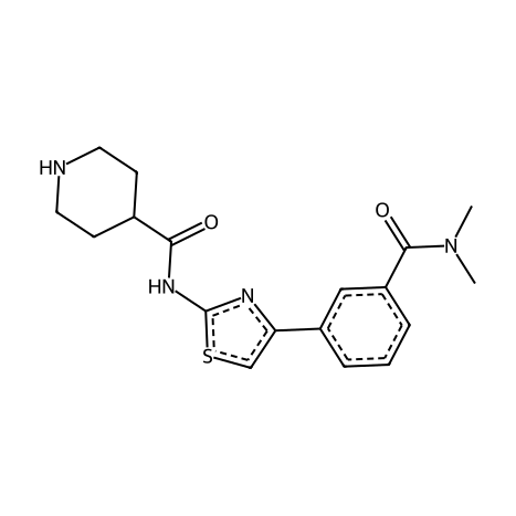 CN(C)C(=O)c1cccc(-c2csc(NC(=O)C3CCNCC3)n2)c1